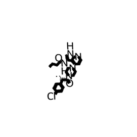 [CH2][C@H](C(=O)N1CCN(c2ccnc3[nH]cc(NC(=O)CCC)c23)CC1)c1ccc(Cl)cc1